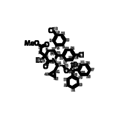 CCC1(CC(=O)OC)C[C@H](c2cccc(Cl)c2)C(c2ccc(Cl)cc2)N([C@H](CO[Si](c2ccccc2)(c2ccccc2)C(C)(C)C)C2CC2)C1=O